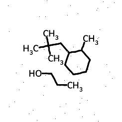 CC1CCCCC1CC(C)(C)C.CCCO